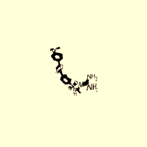 CC(N=C(N)N)NS(=O)(=O)c1ccc(-c2ncc(-c3ccc(N(C)C)cc3)o2)cc1